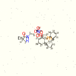 CCC(C)(C)C(=O)NCCO[N+]([O-])(O)OCC[PH](C1C=CC=CC1)(C1C=CC=CC1)C1C=CC=CC1